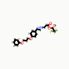 O=C(CCNCCc1ccc(OCCCOc2ccccc2)cc1)OC(=O)C(F)(F)F